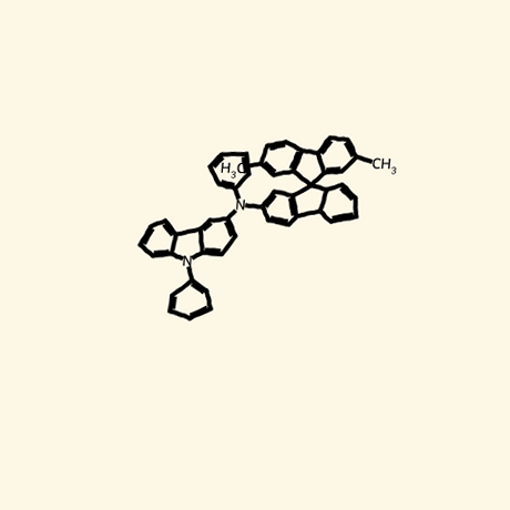 Cc1ccc2c(c1)C1(c3cc(C)ccc3-2)c2cc(N(c3ccccc3)c3ccc4c(c3)c3ccccc3n4-c3ccccc3)ccc2C2C=CC=CC21